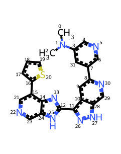 CN(C)c1cncc(-c2cc3c(-c4nc5c(-c6cccs6)cncc5[nH]4)n[nH]c3cn2)c1